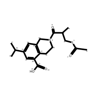 CC(=O)SCC(C)C(=O)N1CCc2c(cc(C(C)C)cc2C(=O)O)C1